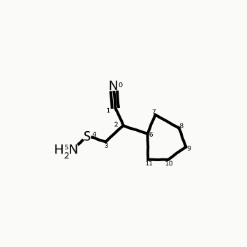 N#CC(CSN)C1CCCCC1